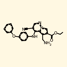 CCOC(=O)c1cn2ncc(C#N)c(Nc3ccc(Oc4ccccc4)cc3)c2c1CN